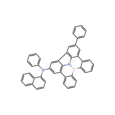 c1ccc(-c2cc3c4c(c2)c2cc(N(c5ccccc5)c5cccc6ccccc56)cc5c2n4B(c2ccccc2-3)c2ccccc2-5)cc1